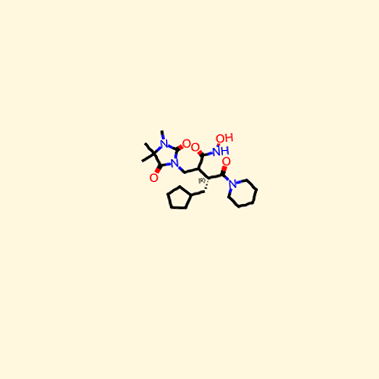 CN1C(=O)N(CC(C(=O)NO)[C@@H](CC2CCCC2)C(=O)N2CCCCC2)C(=O)C1(C)C